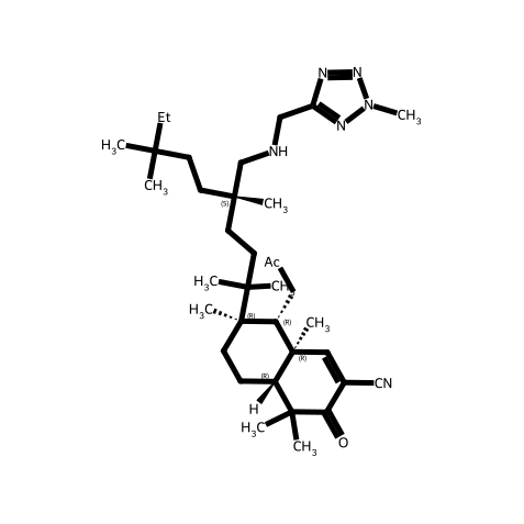 CCC(C)(C)CC[C@@](C)(CCC(C)(C)[C@]1(C)CC[C@H]2C(C)(C)C(=O)C(C#N)=C[C@]2(C)[C@H]1CC(C)=O)CNCc1nnn(C)n1